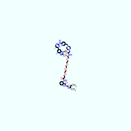 Cc1nc(NC(=O)c2ccccc2NC(=O)CCOCCOCCOCCOCCNC(=O)CN2CCN(Cc3ccc(Nc4ncc(F)c(-c5cc(F)c6nc(C)n(C(C)C)c6c5)n4)nc3)CC2)sc1C